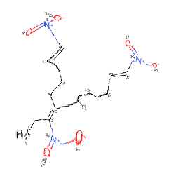 CCC(=C(CCC=C[N+](=O)[O-])CCCC=C[N+](=O)[O-])[N+](=O)[O-]